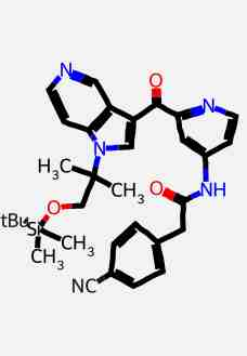 CC(C)(CO[Si](C)(C)C(C)(C)C)n1cc(C(=O)c2cc(NC(=O)Cc3ccc(C#N)cc3)ccn2)c2cnccc21